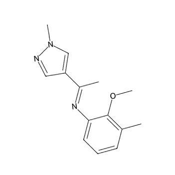 COc1c(C)cccc1N=C(C)c1cnn(C)c1